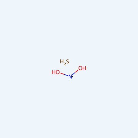 O[N]O.S